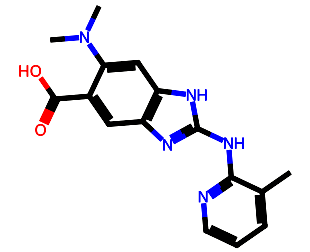 Cc1cccnc1Nc1nc2cc(C(=O)O)c(N(C)C)cc2[nH]1